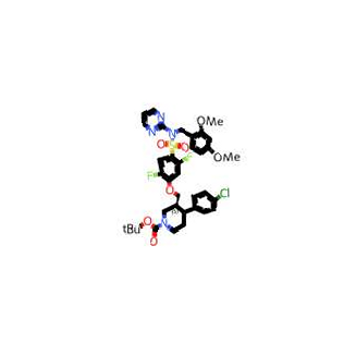 COc1ccc(CN(c2ncccn2)S(=O)(=O)c2cc(F)c(OC[C@@H]3CN(C(=O)OC(C)(C)C)CCC3c3ccc(Cl)cc3)cc2F)c(OC)c1